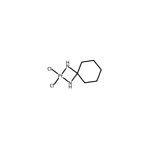 [Cl][Pt]1([Cl])[NH]C2(CCCCC2)[NH]1